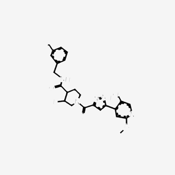 COc1cc(-c2cc(C(=O)N3CCC(C(=O)NCc4cccc(Cl)c4)C(F)C3)n[nH]2)c(Cl)cn1